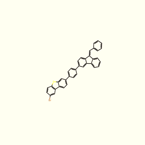 Brc1ccc2sc3cc(-c4ccc(-c5ccc6c(c5)-c5ccccc5/C6=C\c5ccccc5)cc4)ccc3c2c1